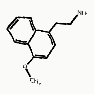 COc1ccc(CC[NH])c2ccccc12